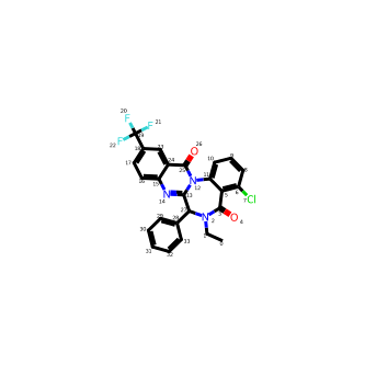 CCN1C(=O)c2c(Cl)cccc2-n2c(nc3ccc(C(F)(F)F)cc3c2=O)C1c1ccccc1